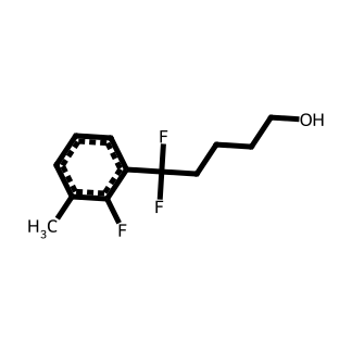 Cc1cccc(C(F)(F)CCCCO)c1F